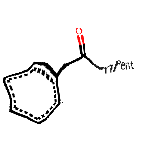 CCCCCC(=O)c1[c]cccc1